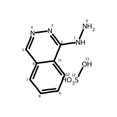 NNc1nncc2ccccc12.O=S(=O)(O)O